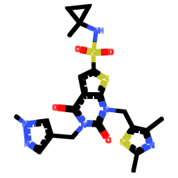 Cc1nc(C)c(Cn2c(=O)n(Cc3cnn(C)c3)c(=O)c3cc(S(=O)(=O)NC4(C)CC4)sc32)s1